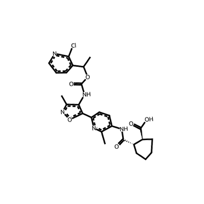 Cc1nc(-c2onc(C)c2NC(=O)OC(C)c2cccnc2Cl)ccc1NC(=O)[C@H]1CCCC[C@@H]1C(=O)O